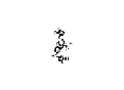 Cc1cc(Nc2ccc(F)c(CC3(C(=O)O)CCN(Cc4cccc(F)c4F)[C@H](C)C3)n2)n[nH]1